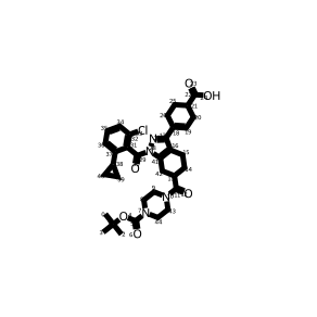 CC(C)(C)OC(=O)N1CCN(C(=O)C2CCc3c(C4=CCC(C(=O)O)CC4)nn(C(=O)c4c(Cl)cccc4C4CC4)c3C2)CC1